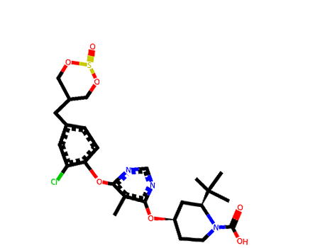 Cc1c(Oc2ccc(CC3COS(=O)OC3)cc2Cl)ncnc1O[C@@H]1CCN(C(=O)O)[C@H](C(C)(C)C)C1